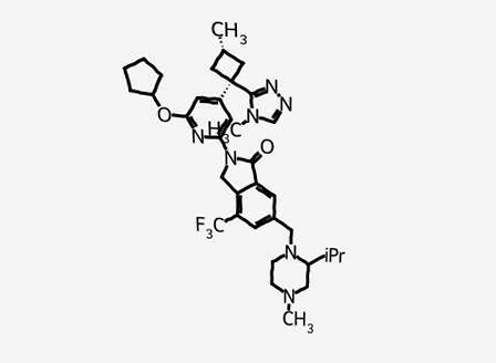 CC(C)C1CN(C)CCN1Cc1cc2c(c(C(F)(F)F)c1)CN(c1cc([C@]3(c4nncn4C)C[C@H](C)C3)cc(OC3CCCC3)n1)C2=O